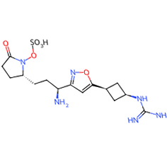 N=C(N)N[C@H]1C[C@@H](c2cc([C@@H](N)CC[C@@H]3CCC(=O)N3OS(=O)(=O)O)no2)C1